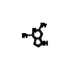 CC(C)c1cc2[nH]ccc2c(C(C)C)n1